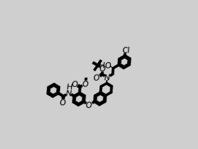 COC(=O)c1cc(Oc2ccc3c(c2)C[C@@H](N(C[C@H](O)c2cccc(Cl)c2)C(=O)OC(C)(C)C)CC3)ccc1NC(=O)c1ccccc1